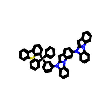 c1ccc([Si](c2ccccc2)(c2cccc(-n3c4ccccc4n4c5cc(-n6c7ccccc7n7c8ccccc8cc67)ccc5cc34)c2)c2cccc3c2sc2ccccc23)cc1